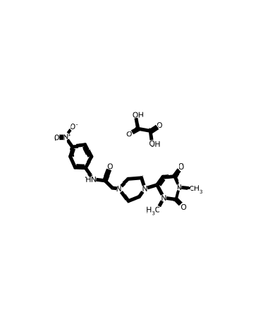 Cn1c(N2CCN(CC(=O)Nc3ccc([N+](=O)[O-])cc3)CC2)cc(=O)n(C)c1=O.O=C(O)C(=O)O